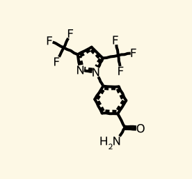 NC(=O)c1ccc(-n2nc(C(F)(F)F)cc2C(F)(F)F)cc1